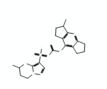 CC1CCn2ncc(S(N)(=O)=NC(=O)Nc3c4c(nc5c3CCC5C)CCC4)c2O1